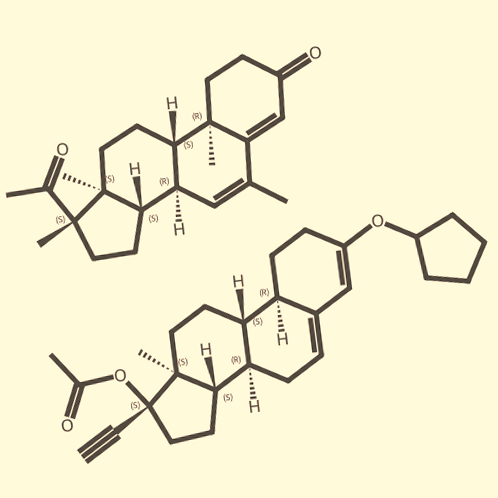 C#C[C@]1(OC(C)=O)CC[C@H]2[C@@H]3CC=C4C=C(OC5CCCC5)CC[C@@H]4[C@H]3CC[C@@]21C.CC(=O)[C@@]1(C)CC[C@H]2[C@@H]3C=C(C)C4=CC(=O)CC[C@]4(C)[C@H]3CC[C@@]21C